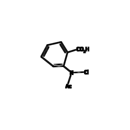 CC(=O)N(Cl)c1ccccc1C(=O)O